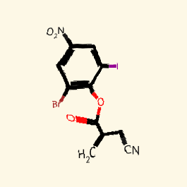 C=C(CC#N)C(=O)Oc1c(Br)cc([N+](=O)[O-])cc1I